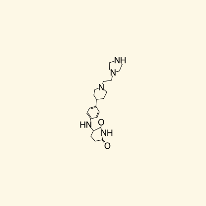 O=C1CCC(Nc2ccc(C3CCN(CCN4CCNCC4)CC3)cc2)C(=O)N1